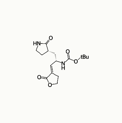 CC(C)(C)OC(=O)N[C@H](C=C1CCOC1=O)C[C@@H]1CCNC1=O